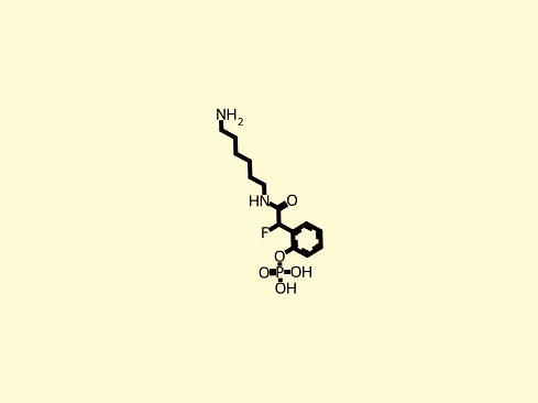 NCCCCCCNC(=O)C(F)c1ccccc1OP(=O)(O)O